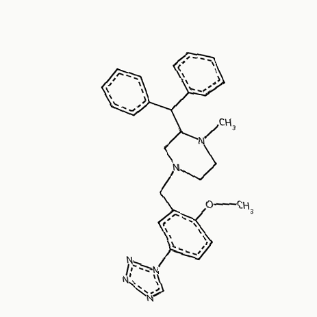 COc1ccc(-n2cnnn2)cc1CN1CCN(C)C(C(c2ccccc2)c2ccccc2)C1